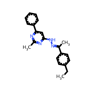 CCc1ccc(C(C)=NNc2cc(-c3ccccc3)nc(C)n2)cc1